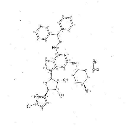 CCc1nnc([C@H]2O[C@@H](n3cnc4c(NCC(c5ccccc5)c5ccccc5)nc(N[C@H]5CC[C@H](N)CC5)nc43)[C@H](O)[C@@H]2O)[nH]1.O=CO